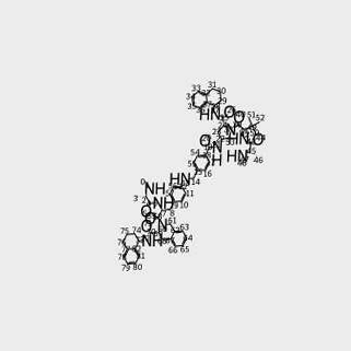 CN[C@@H](C)C(=O)N[C@@H](Cc1ccc(NCc2ccc(C(=O)N[C@H]3C[C@@H](C(=O)N[C@@H]4CCCc5ccccc54)N(C(=O)[C@@H](NC(=O)[C@H](C)NC)C(C)(C)C)C3)cc2)cc1)C(=O)N1Cc2ccccc2C[C@H]1C(=O)N[C@@H]1CCCc2ccccc21